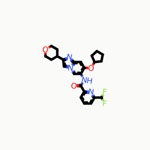 O=C(Nc1cn2cc(C3CCOCC3)nc2cc1OC1CCCC1)c1cccc(C(F)F)n1